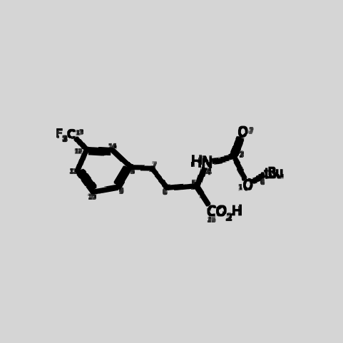 CC(C)(C)OC(=O)NC(CCc1cccc(C(F)(F)F)c1)C(=O)O